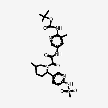 Cc1cc(NC(=O)C(=O)N2CC(C)CCC2c2ccc(NS(C)(=O)=O)nc2)cnc1NC(=O)OC(C)(C)C